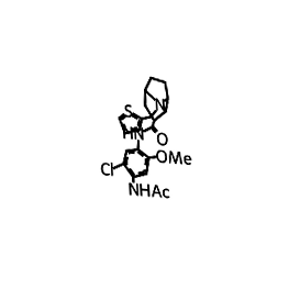 COc1cc(NC(C)=O)c(Cl)cc1NC(=O)C1CC2CCC(C1)N2Cc1cccs1